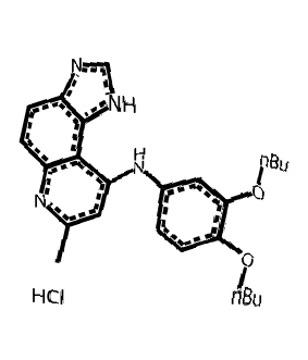 CCCCOc1ccc(Nc2cc(C)nc3ccc4nc[nH]c4c23)cc1OCCCC.Cl